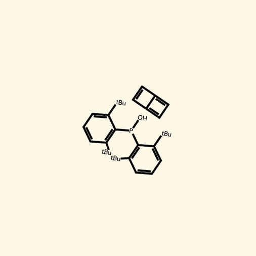 CC(C)(C)c1cccc(C(C)(C)C)c1P(O)c1c(C(C)(C)C)cccc1C(C)(C)C.c1cc2ccc1-2